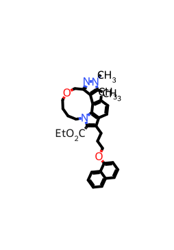 CCOC(=O)c1c(CCCOc2cccc3ccccc23)c2ccc(C)c3c2n1CCCCOCc1nn(C)c(C)c1-3